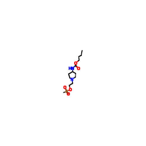 CCCCOC(=O)NC1CCN(CCOS(C)(=O)=O)CC1